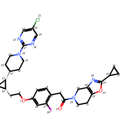 O=C(Cc1ccc(OCC[C@@H]2C[C@@H]2C2CCN(c3ncc(Cl)cn3)CC2)cc1I)N1CCc2oc(C3CC3)nc2C1